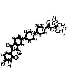 CC(C)(C)OC(=O)N1CCC(N2CCC(c3ccc4c(c3)C(=O)N(C3CCC(=O)NC3=O)C4=O)CC2)CC1